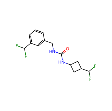 O=C(NCc1cccc(C(F)F)c1)NC1CC(C(F)F)C1